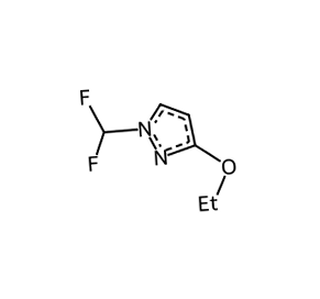 CCOc1ccn(C(F)F)n1